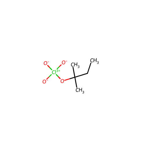 CCC(C)(C)O[Cl+3]([O-])([O-])[O-]